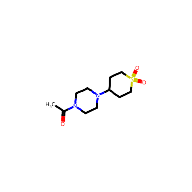 CC(=O)N1CCN(C2CCS(=O)(=O)CC2)CC1